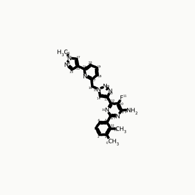 Cc1cccc(-c2nc(N)c(F)c(-c3cn(Cc4cccc(-c5cnn(C)c5)n4)nn3)n2)c1C